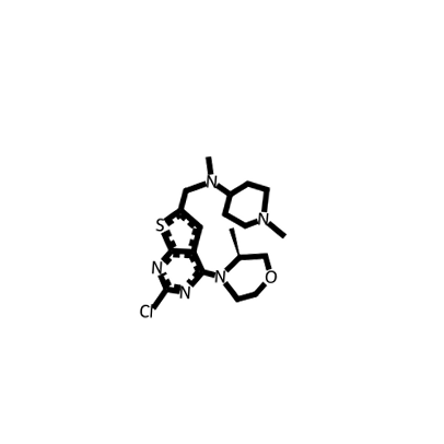 C[C@H]1COCCN1c1nc(Cl)nc2sc(CN(C)C3CCN(C)CC3)cc12